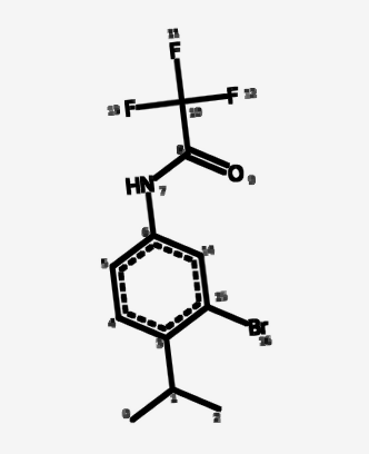 CC(C)c1ccc(NC(=O)C(F)(F)F)cc1Br